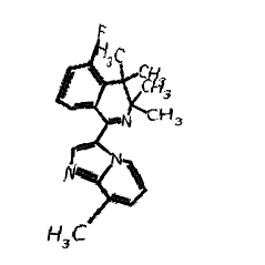 Cc1cccn2c(C3=NC(C)(C)C(C)(C)c4c(F)cccc43)cnc12